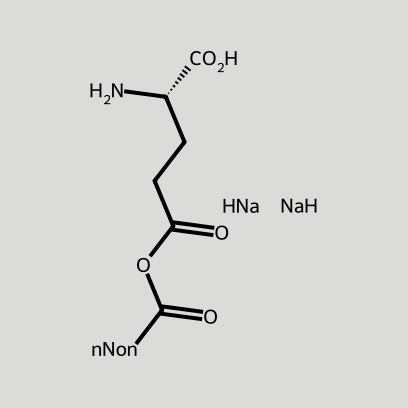 CCCCCCCCCC(=O)OC(=O)CC[C@H](N)C(=O)O.[NaH].[NaH]